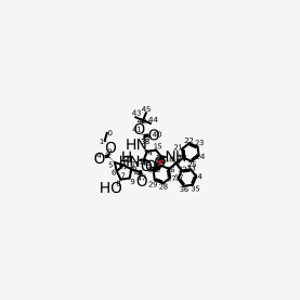 CCOC(=O)[C@H]1C2[C@@H](O)C[C@@](NC(=O)C(CC(=O)NC(c3ccccc3)(c3ccccc3)c3ccccc3)NC(=O)OC(C)(C)C)(C(=O)OCC)[C@@H]21